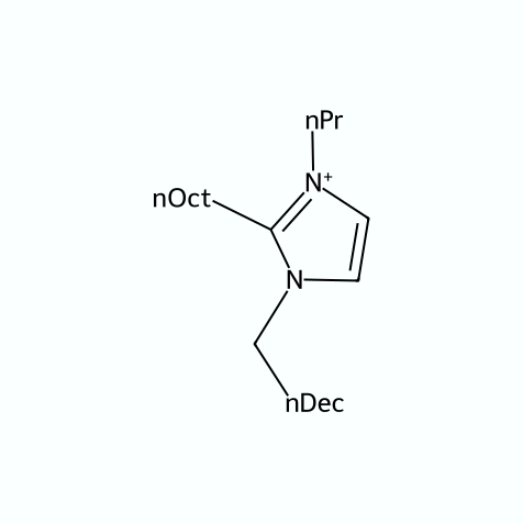 CCCCCCCCCCCn1cc[n+](CCC)c1CCCCCCCC